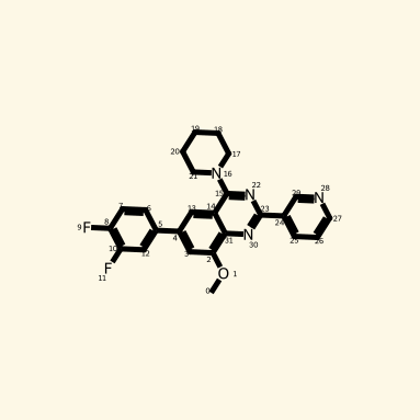 COc1cc(-c2ccc(F)c(F)c2)cc2c(N3CCCCC3)nc(-c3cccnc3)nc12